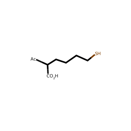 CC(=O)C(CCCCS)C(=O)O